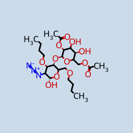 CCCCOCC1O[C@H](O)C(N=[N+]=[N-])[C@@H](OCCCC)[C@@H]1O[C@@H]1OC(COC(C)=O)[C@H](O)C(O)[C@@H]1OC(C)=O